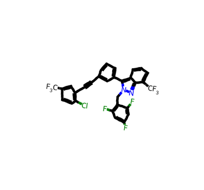 Fc1cc(F)c(Cn2nc3c(C(F)(F)F)cccc3c2-c2cccc(C#Cc3cc(C(F)(F)F)ccc3Cl)c2)c(F)c1